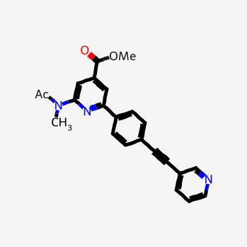 COC(=O)c1cc(-c2ccc(C#Cc3cccnc3)cc2)nc(N(C)C(C)=O)c1